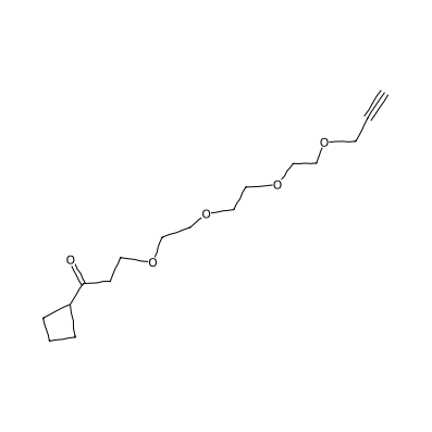 C#CCOCCOCCOCCOCCC(=O)C1CCC1